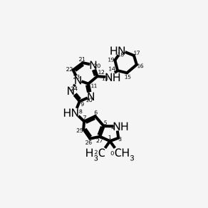 CC1(C)CNc2cc(Nc3nc4c(NC5CCCNC5)nccn4n3)ccc21